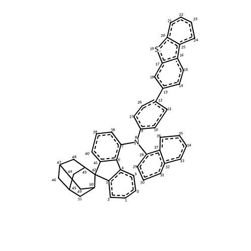 c1ccc2c(c1)-c1c(N(c3ccc(-c4ccc5c(c4)sc4ccccc45)cc3)c3cccc4ccccc34)cccc1C21C2CC3CC(C2)CC1C3